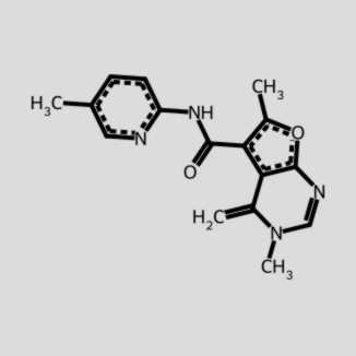 C=C1c2c(oc(C)c2C(=O)Nc2ccc(C)cn2)N=CN1C